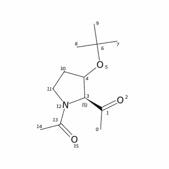 CC(=O)[C@@H]1C(OC(C)(C)C)CCN1C(C)=O